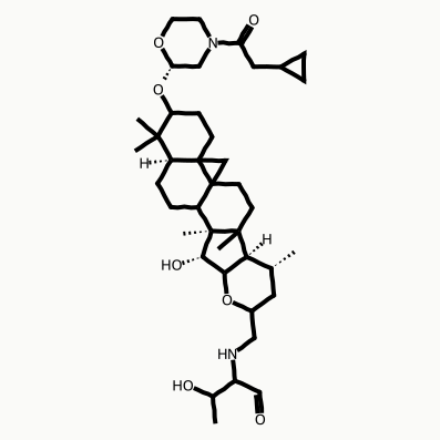 CC(O)C(C=O)NCC1C[C@@H](C)[C@H]2C(O1)[C@H](O)[C@@]1(C)C3CC[C@H]4C(C)(C)C(O[C@H]5CN(C(=O)CC6CC6)CCO5)CCC45CC35CCC21C